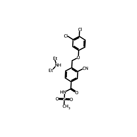 CCNCC.CS(=O)(=O)NC(=O)c1ccc(COc2ccc(Cl)c(Cl)c2)c(C#N)c1